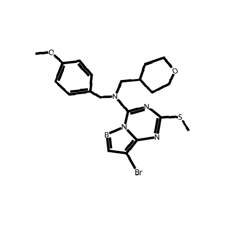 COc1ccc(CN(CC2CCOCC2)c2nc(SC)nc3c(Br)cbn23)cc1